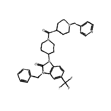 O=C(C1CCN(Cc2ccncc2)CC1)N1CCC(n2c(=O)n(Cc3ccccc3)c3cc(C(F)(F)F)ccc32)CC1